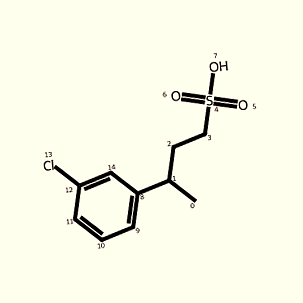 CC(CCS(=O)(=O)O)c1cccc(Cl)c1